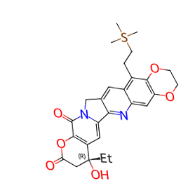 CC[C@@]1(O)CC(=O)Oc2c1cc1n(c2=O)Cc2cc3c(CCS(C)(C)C)c4c(cc3nc2-1)OCCO4